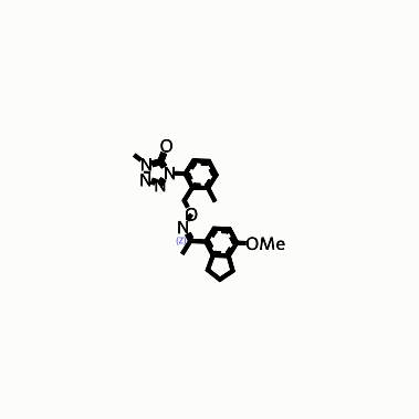 COc1ccc(/C(C)=N\OCc2c(C)cccc2-n2nnn(C)c2=O)c2c1CCC2